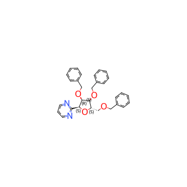 c1ccc(COC[C@@H]2O[C@@H](c3ncccn3)[C@@H](OCc3ccccc3)[C@H]2OCc2ccccc2)cc1